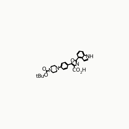 CC(C)(C)OC(=O)N1CCN(c2ccc(-c3oc(-c4cccc5[nH]ccc45)nc3C(=O)O)cc2)CC1